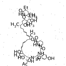 CC[C@H]1C[C@H](C)[C@@]2(NC1=O)OC(C[C@H](O)[C@@H](C)CC/C=C/C=C(\C)C1C/C=C/C=C/[C@H](O)[C@H](C)[C@@H](O)[C@@H](CCC(C)=O)C(=O)N[C@@H](C(C)C)C(=O)N[C@@H](Cc3cccc(O)c3)C(=O)N3CCC[C@H](N3)C(=O)O1)[C@H](C)[C@H](O)[C@@H]2C